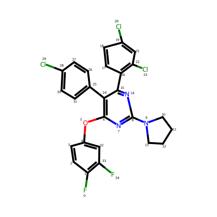 Fc1ccc(Oc2nc(N3CCCC3)nc(-c3ccc(Cl)cc3Cl)c2-c2ccc(Cl)cc2)cc1F